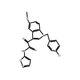 COc1ccc2c(c1)c(C(=O)C(=O)Nc1ccno1)cn2Cc1ccc(Cl)cc1